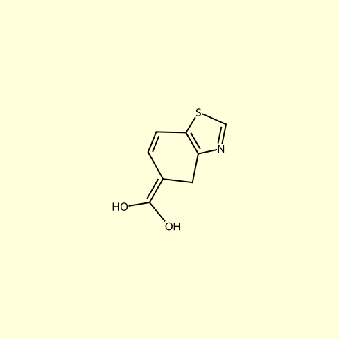 OC(O)=C1C=Cc2scnc2C1